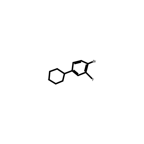 Fc1cc(C2CC[CH]CC2)ccc1Br